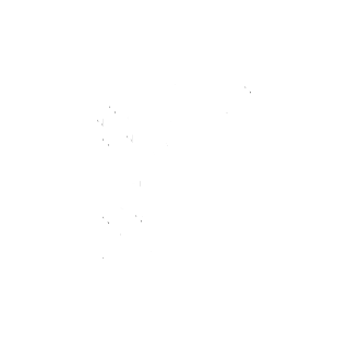 CCCCc1nc(Cl)c(C(=O)O)n1Cc1ccc(-c2cc(Oc3ccccn3)ccc2-c2nn[nH]n2)cc1